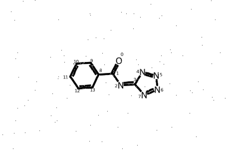 O=C(N=C1N=NN=N1)c1c[c]ccc1